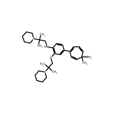 BC1(C)C=CC=C(c2ccc(NCC(C)(C)N3CCCCC3)c(OCC(C)(C)N3CCCCC3)c2)C=C1